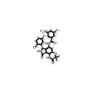 O=C(Nc1cc2c(c3c1[C@H](c1cc(F)ccc1Cl)NC3=O)NC(=O)C(F)(F)O2)c1cc(F)cc(C(F)(F)F)c1